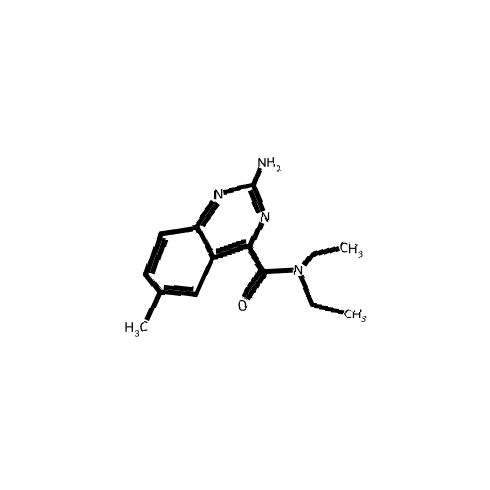 CCN(CC)C(=O)c1nc(N)nc2ccc(C)cc12